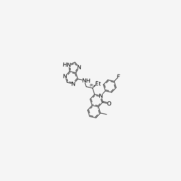 CC[C@H](CNc1ncnc2[nH]cnc12)c1cc2cccc(C)c2c(=O)n1-c1ccc(F)cc1